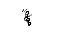 Fc1cccnc1-c1ccc2c(Nc3ccc(C(F)(F)F)cn3)ncnc2c1